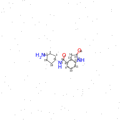 N[C@H]1CC[C@H](NC(=O)c2cccc3c2CC(=O)N3)CC1